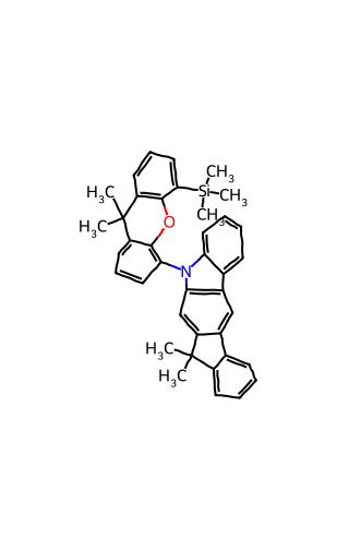 CC1(C)c2ccccc2-c2cc3c4ccccc4n(-c4cccc5c4Oc4c(cccc4[Si](C)(C)C)C5(C)C)c3cc21